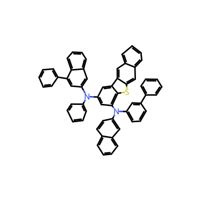 c1ccc(-c2cccc(N(c3ccc4ccccc4c3)c3cc(N(c4ccccc4)c4cc(-c5ccccc5)c5ccccc5c4)cc4c3sc3cc5ccccc5cc34)c2)cc1